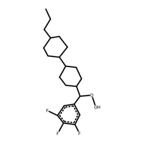 CCCC1CCC(C2CCC(C(OO)c3cc(F)c(F)c(F)c3)CC2)CC1